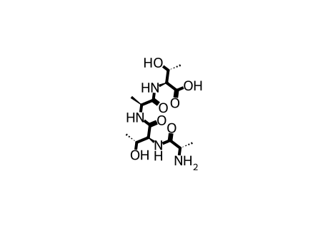 C[C@H](N)C(=O)N[C@H](C(=O)N[C@@H](C)C(=O)N[C@H](C(=O)O)[C@@H](C)O)[C@@H](C)O